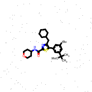 COC(C)(C)c1cc(-c2sc(C(=O)NC3CCOCC3)nc2CC2CCCCC2)cc(C(C)(C)C)c1